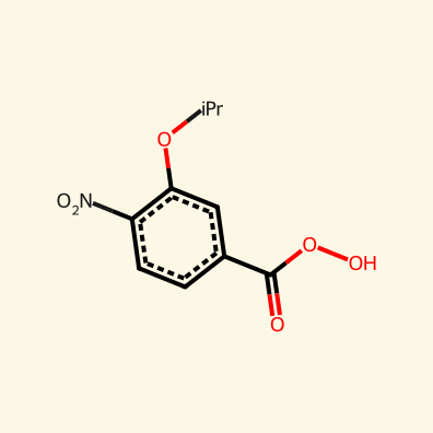 CC(C)Oc1cc(C(=O)OO)ccc1[N+](=O)[O-]